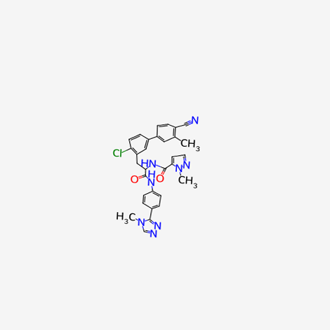 Cc1cc(-c2ccc(Cl)c(CC(NC(=O)c3ccnn3C)C(=O)Nc3ccc(-c4nncn4C)cc3)c2)ccc1C#N